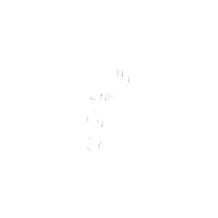 O=C(NCCCN1CCCC1=O)c1ccc(-c2ccccc2)nc1